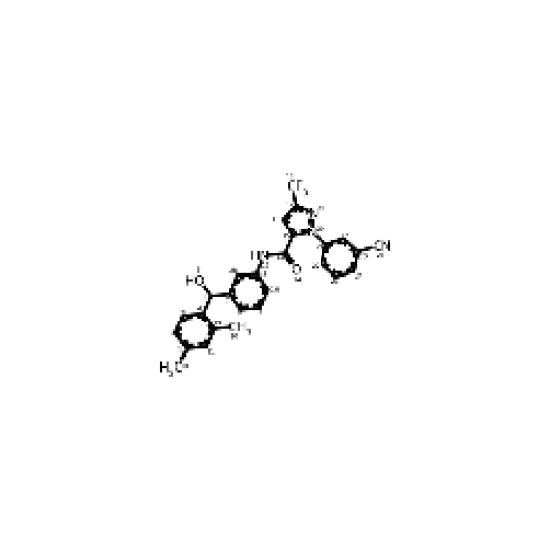 Cc1ccc(C(O)c2cccc(NC(=O)c3cc(C(F)(F)F)nn3-c3cccc(C#N)c3)c2)c(C)c1